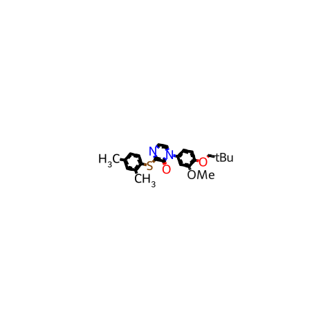 COc1cc(-n2ccnc(Sc3ccc(C)cc3C)c2=O)ccc1OCC(C)(C)C